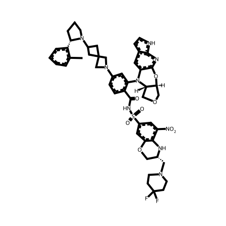 Cc1ccccc1[C@@H]1CCCN1C1CC2(C1)CN(c1ccc(C(=O)NS(=O)(=O)c3cc4c(c([N+](=O)[O-])c3)N[C@H](CN3CCC(F)(F)CC3)CO4)c(N3c4cc5cc[nH]c5nc4O[C@H]4COC[C@@H]43)c1)C2